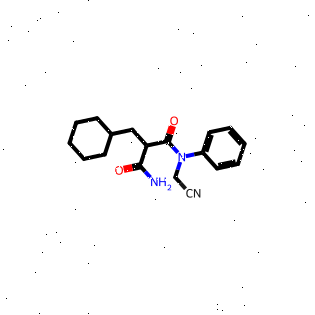 N#CCN(C(=O)C(CC1CCCCC1)C(N)=O)c1ccccc1